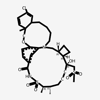 C[C@@H]1[C@@H](C)CCC[C@](O)(CS(C)(=O)=O)[C@@H]2CC[C@H]2CN2CCCCC3C=C(Cl)C=CC3(C)COc3ccc(cc32)C(=O)NS1(=O)=O